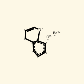 C1=COc2ccccc2C1.[Ba+2].[O-2]